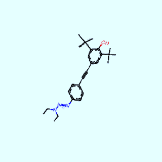 CCN(CC)/N=N/c1ccc(C#Cc2cc(C(C)(C)C)c(O)c(C(C)(C)C)c2)cc1